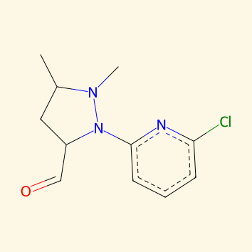 CC1CC(C=O)N(c2cccc(Cl)n2)N1C